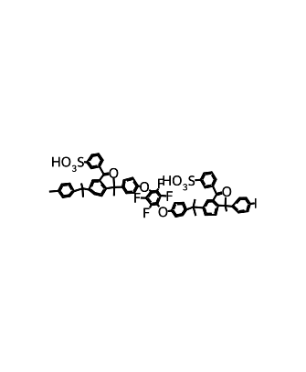 Cc1ccc(C(C)(C)c2ccc(C(C)(C)c3ccc(Oc4c(F)c(F)c(Oc5ccc(C(C)(C)c6ccc(C(C)(C)c7ccc(I)cc7)c(C(=O)c7cccc(S(=O)(=O)O)c7)c6)cc5)c(F)c4F)cc3)c(C(=O)c3cccc(S(=O)(=O)O)c3)c2)cc1